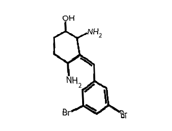 NC1CCC(O)C(N)C1=Cc1cc(Br)cc(Br)c1